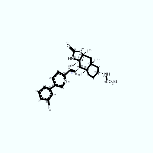 CCOC(=O)N[C@@H]1CC[C@@H]2[C@@H](C1)C[C@@H]1OC(=O)N[C@@H]1[C@H]2/C=C/c1ccc(-c2cccc(F)c2)cn1